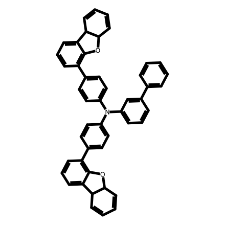 C1=CC2Oc3c(-c4ccc(N(c5ccc(-c6cccc7c6OC6C=CC=CC76)cc5)c5cccc(-c6ccccc6)c5)cc4)cccc3C2C=C1